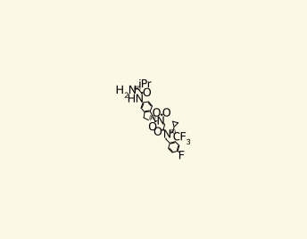 CC(C)[C@@H](N)C(=O)Nc1ccc2c(c1)CC[C@@]21OC(=O)N(CC(=O)N(Cc2ccc(F)cc2)[C@H](C2CC2)C(F)(F)F)C1=O